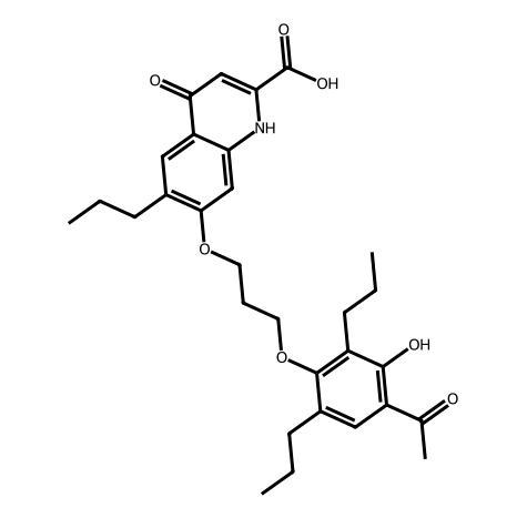 CCCc1cc2c(=O)cc(C(=O)O)[nH]c2cc1OCCCOc1c(CCC)cc(C(C)=O)c(O)c1CCC